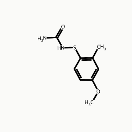 COc1ccc(SNC(N)=O)c(C)c1